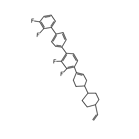 C=CC1CCC(C2CC=C(c3ccc(-c4ccc(-c5cccc(F)c5F)cc4)c(F)c3F)CC2)CC1